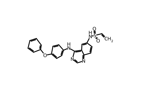 C=CS(=O)(=O)Nc1ccc2ncnc(Nc3ccc(Oc4ccccc4)cc3)c2c1